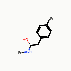 CC(C)N[C@H](O)Cc1ccc(C(C)C)cc1